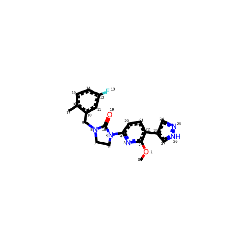 COc1nc(N2CCN(Cc3cc(F)ccc3C)C2=O)ccc1-c1cn[nH]c1